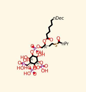 CCCCCCCCCCCCCCCC(=O)O[C@H](CCSC(=O)CCC)COP(=O)(O)OC1C(O)[C@@H](OP(=O)(O)O)C(OP(=O)(O)O)[C@@H](CP(=O)(O)O)[C@H]1O